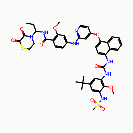 CCC(NC(=O)c1ccc(Nc2cc(Oc3ccc(NC(=O)Nc4cc(C(C)(C)C)cc(NS(C)(=O)=O)c4OC)c4ccccc34)ccn2)cc1OC)N1CCSC(=O)C1=O